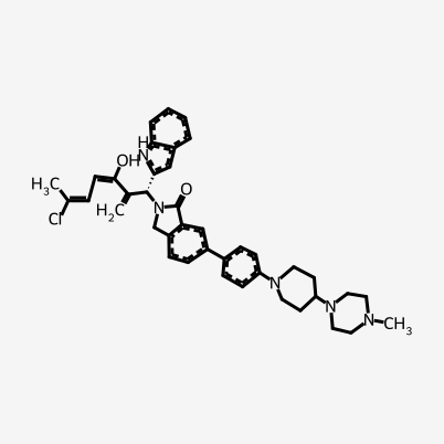 C=C(/C(O)=C\C=C(/C)Cl)[C@H](c1cc2ccccc2[nH]1)N1Cc2ccc(-c3ccc(N4CCC(N5CCN(C)CC5)CC4)cc3)cc2C1=O